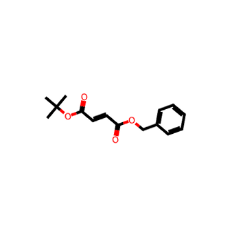 CC(C)(C)OC(=O)C=CC(=O)OCc1ccccc1